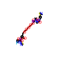 Cc1ncsc1-c1ccc(CNC(=O)C2CCCN2C(=O)C(c2cc(OCCOCCOCCOCCOCC#Cc3ccc(CN(C)C(C(=O)Nc4nccs4)c4cc(F)ccc4O)c(C=O)c3)no2)C(C)C)cc1